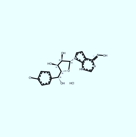 Cl.O/N=c1\nc[nH]c2c1ccn2[C@@H]1O[C@H]([C@H](O)c2ccc(Cl)cc2)[C@@H](O)[C@H]1O